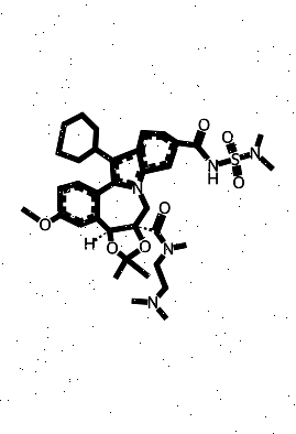 COc1ccc2c(c1)[C@@H]1OC(C)(C)O[C@]1(C(=O)N(C)CCN(C)C)Cn1c-2c(C2CCCCC2)c2ccc(C(=O)NS(=O)(=O)N(C)C)cc21